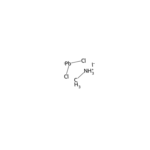 C[NH3+].[Cl][Pb][Cl].[I-]